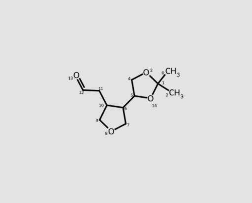 CC1(C)OCC(C2COCC2CC=O)O1